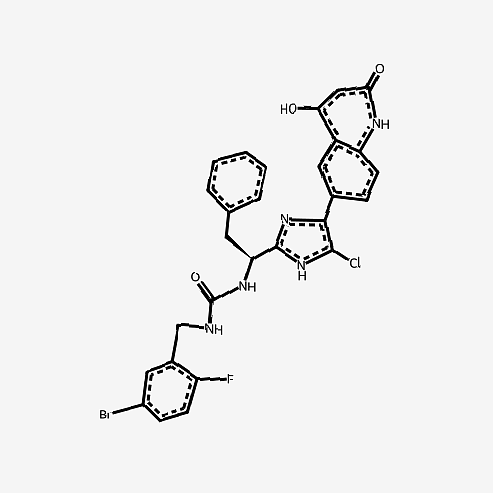 O=C(NCc1cc(Br)ccc1F)N[C@@H](Cc1ccccc1)c1nc(-c2ccc3[nH]c(=O)cc(O)c3c2)c(Cl)[nH]1